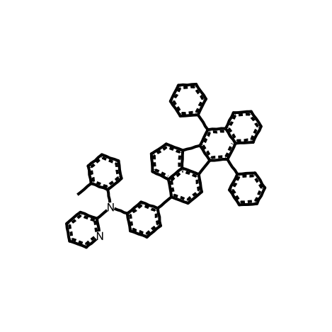 Cc1ccccc1N(c1cccc(-c2ccc3c4c(cccc24)-c2c-3c(-c3ccccc3)c3ccccc3c2-c2ccccc2)c1)c1ccccn1